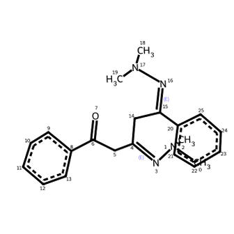 CN(C)/N=C(/CC(=O)c1ccccc1)C/C(=N\N(C)C)c1ccccc1